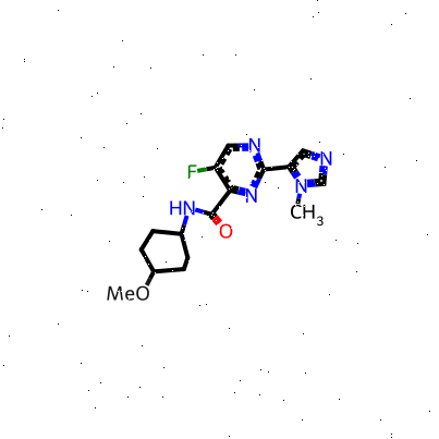 COC1CCC(NC(=O)c2nc(-c3cncn3C)ncc2F)CC1